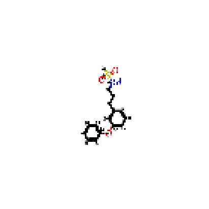 CS(=O)(=O)NCCCc1cccc(Oc2ccccc2)c1